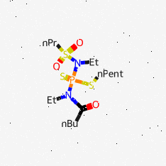 CCCCCSP(=S)(N(CC)C(=O)CCCC)N(CC)S(=O)(=O)CCC